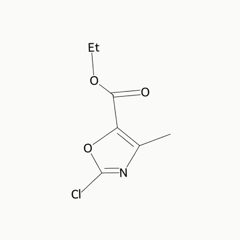 CCOC(=O)c1oc(Cl)nc1C